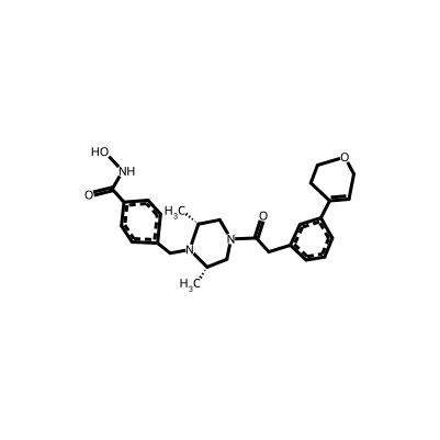 C[C@@H]1CN(C(=O)Cc2cccc(C3=CCOCC3)c2)C[C@H](C)N1Cc1ccc(C(=O)NO)cc1